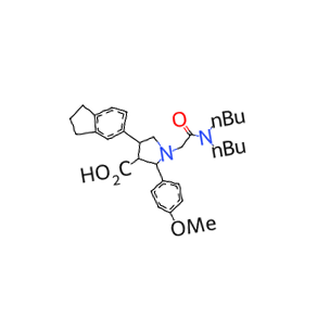 CCCCN(CCCC)C(=O)CN1CC(c2ccc3c(c2)CCC3)C(C(=O)O)C1c1ccc(OC)cc1